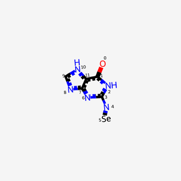 O=c1[nH]c(N=[Se])nc2nc[nH]c12